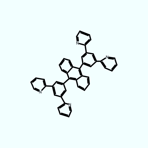 c1ccc(-c2cc(-c3ccccn3)cc(-c3c4ccccc4c(-c4cc(-c5ccccn5)cc(-c5ccccn5)c4)c4ccccc34)c2)nc1